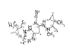 [C-]#[N+]/N=C(/C/C(=N/C#N)NN(C)C(=S)C1(C)CC1)NN(C)C(=S)C1(C)CC1